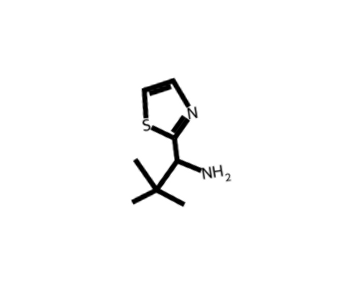 CC(C)(C)C(N)c1nccs1